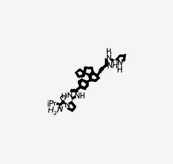 CC(C)C(N)C(=O)N1CCC[C@H]1C1NC=C(c2ccc(-c3ccc(C#CC4=CNC([C@@H]5CCCN5)N4)c4c3C3(CCCC3)CC4)cc2)N1